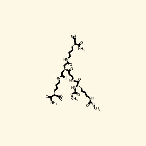 COC(=O)NCCCC[C@H](NC(=O)OC)C(=O)NCCC(=O)N(CC(=O)NCCCC[C@@H](C(N)=O)C1SS1)CC(=O)NCCCC[C@@H](C(N)=O)C1SS1